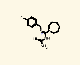 N=C(N)N/C(=N/Cc1ccc(Cl)cc1)N1CCCCCC1